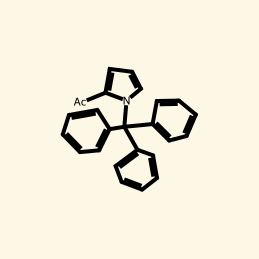 CC(=O)c1cccn1C(c1ccccc1)(c1ccccc1)c1ccccc1